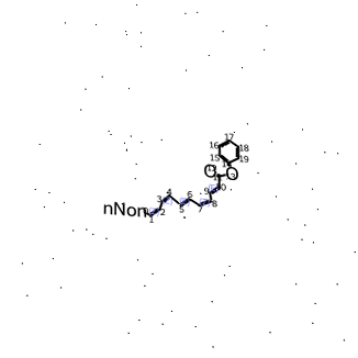 CCCCCCCCC\C=C/C=C\C=C\C=C/C=C/C(=O)Oc1ccccc1